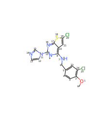 COc1ccc(CNc2nc(-n3ccnc3)nc3sc(Cl)cc23)cc1Cl